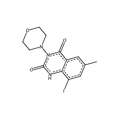 Cc1cc(I)c2[nH]c(=O)n(N3CCOCC3)c(=O)c2c1